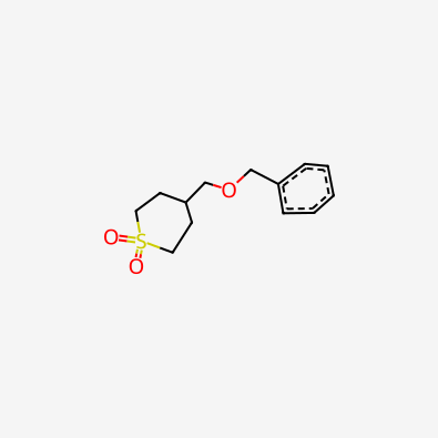 O=S1(=O)CCC(COCc2ccccc2)CC1